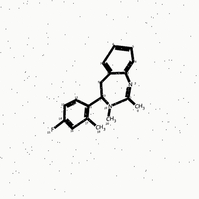 CC1=Nc2ccccc2CC(c2ccc(F)cc2C)N1C